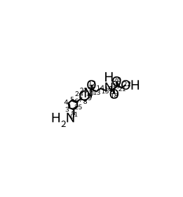 NCc1cccc(C2CCN(C(=O)CCCNC(=O)C(=O)CO)CC2)c1